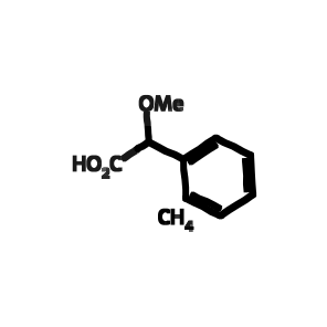 C.COC(C(=O)O)c1ccccc1